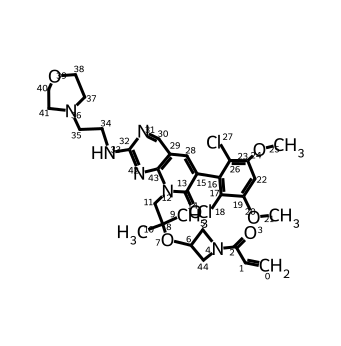 C=CC(=O)N1CC(OC(C)(C)Cn2c(=O)c(-c3c(Cl)c(OC)cc(OC)c3Cl)cc3cnc(NCCN4CCOCC4)nc32)C1